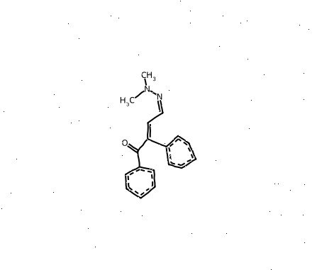 CN(C)/N=C\C=C(\C(=O)c1ccccc1)c1ccccc1